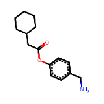 NCc1ccc(OC(=O)CC2CCCCC2)cc1